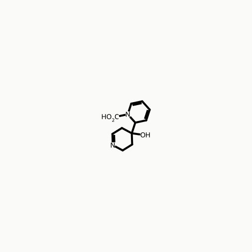 O=C(O)N1C=CC=CC1C1(O)CC=NCC1